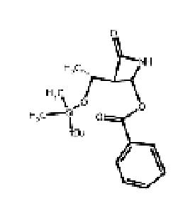 C[C@@H](O[Si](C)(C)C(C)(C)C)C1C(=O)NC1OC(=O)c1ccccc1